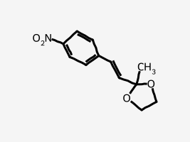 CC1(C=Cc2ccc([N+](=O)[O-])cc2)OCCO1